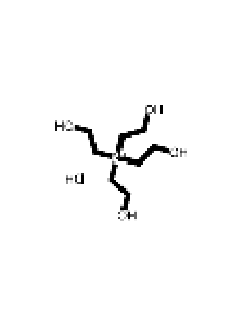 Cl.OCC[N+](CCO)(CCO)CCO